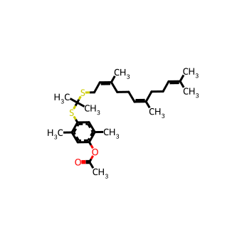 CC(=O)Oc1cc(C)c(SC(C)(C)SCC=C(C)CCC=C(C)CCC=C(C)C)cc1C